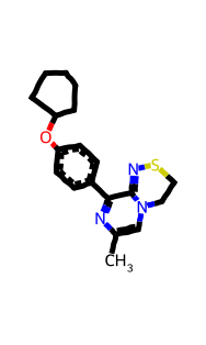 CC1=CN2CCSN=C2C(c2ccc(OC3CCCCC3)cc2)=N1